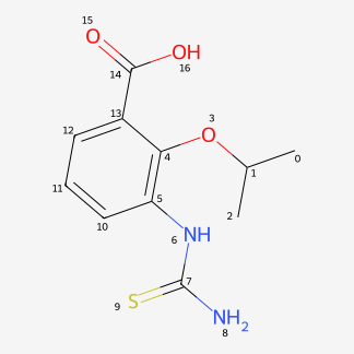 CC(C)Oc1c(NC(N)=S)cccc1C(=O)O